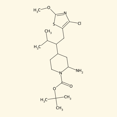 COc1nc(Cl)c(CC(C(C)C)C2CCN(C(=O)OC(C)(C)C)C(N)C2)s1